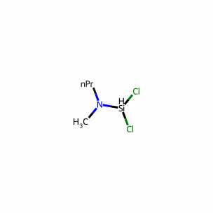 CCCN(C)[SiH](Cl)Cl